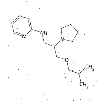 CC(C)COCC(CNc1ccccn1)N1CCCC1